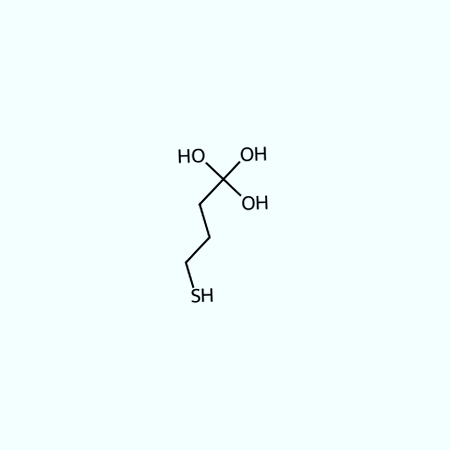 OC(O)(O)CCCS